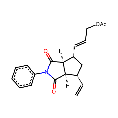 C=C[C@H]1C[C@@H](C=CCOC(C)=O)[C@@H]2C(=O)N(c3ccccc3)C(=O)[C@@H]21